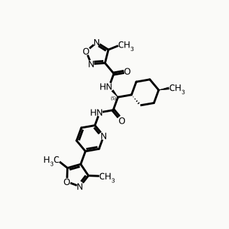 Cc1nonc1C(=O)N[C@H](C(=O)Nc1ccc(-c2c(C)noc2C)cn1)[C@H]1CC[C@H](C)CC1